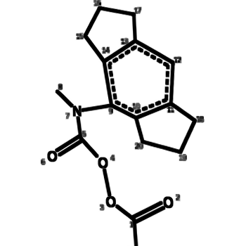 CC(=O)OOC(=O)N(C)c1c2c(cc3c1CCC3)CCC2